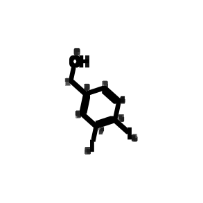 OCc1ccc(I)c(I)c1